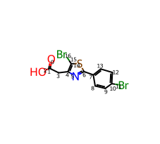 O=C(O)Cc1nc(-c2ccc(Br)cc2)sc1Br